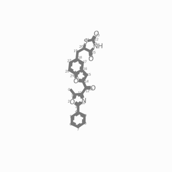 Cc1oc(-c2ccccc2)nc1C(=O)c1cc2cc(CC3SC(=O)NC3=O)ccc2o1